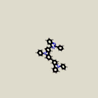 c1ccc(-c2nc(-c3ccc4c(c3)c3cc(-c5ccc6c(c5)c5ccccc5n6-c5ccccc5)ccc3n4-c3ccccc3)c3ccccc3n2)cc1